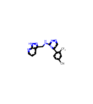 N#Cc1ccc(-c2cnnc(NCc3n[nH]c4ncccc34)n2)c(C(F)(F)F)c1